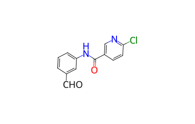 O=Cc1cccc(NC(=O)c2ccc(Cl)nc2)c1